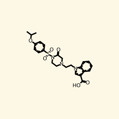 CC(C)Oc1ccc(S(=O)(=O)N2CCN(CCn3cc(C(=O)O)c4ccccc43)CC2=O)cc1